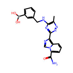 Cc1nnc(-c2ncn3c(C(N)=O)cccc23)nc1NCc1cccc(B(O)O)c1